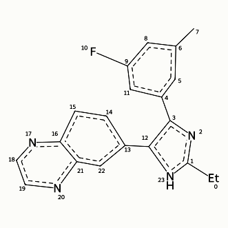 CCc1nc(-c2cc(C)cc(F)c2)c(-c2ccc3nccnc3c2)[nH]1